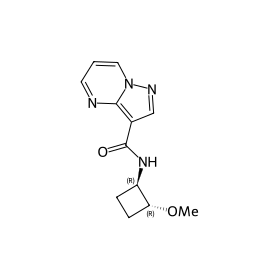 CO[C@@H]1CC[C@H]1NC(=O)c1cnn2cccnc12